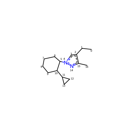 CCc1cn(C2CCCCC2C2CC2)nc1C